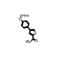 CCCCCCOc1ccc(-c2csc(C(=O)C(C)(C)C)c2)cc1